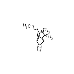 C=C(C1=CC2C(C=C1)C1CCC21)N(C)NCCCC